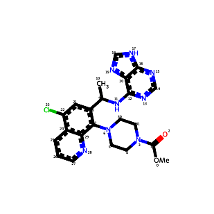 COC(=O)N1CCN(c2c(C(C)Nc3ncnc4[nH]cnc34)cc(Cl)c3cccnc23)CC1